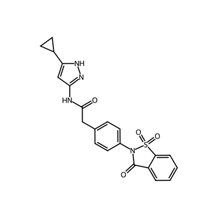 O=C(Cc1ccc(N2C(=O)c3ccccc3S2(=O)=O)cc1)Nc1cc(C2CC2)[nH]n1